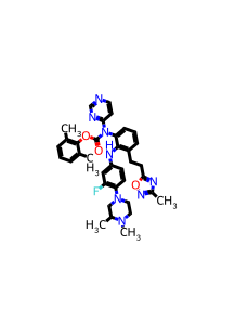 Cc1noc(CCc2cccc(N(C(=O)Oc3c(C)cccc3C)c3ccncn3)c2Nc2ccc(N3CCN(C)C(C)C3)c(F)c2)n1